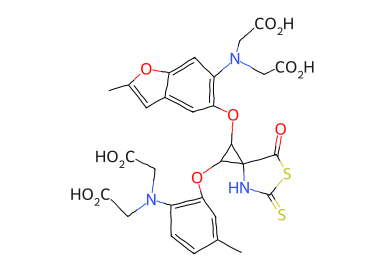 Cc1ccc(N(CC(=O)O)CC(=O)O)c(OC2C(Oc3cc4cc(C)oc4cc3N(CC(=O)O)CC(=O)O)C23NC(=S)SC3=O)c1